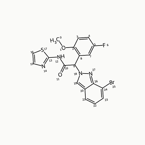 COc1ccc(F)cc1C(C(=O)Nc1nccs1)n1cc2cccc(Br)c2n1